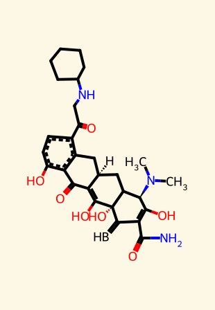 B=C1C(C(N)=O)=C(O)[C@H](N(C)C)C2C[C@@H]3Cc4c(C(=O)CNC5CCCCC5)ccc(O)c4C(=O)C3=C(O)[C@]12O